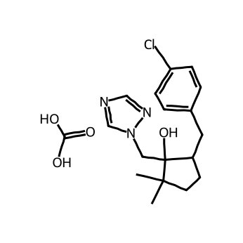 CC1(C)CCC(Cc2ccc(Cl)cc2)C1(O)Cn1cncn1.O=C(O)O